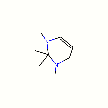 CN1C=CCN(C)C1(C)C